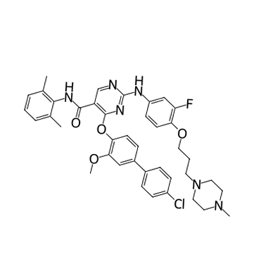 COc1cc(-c2ccc(Cl)cc2)ccc1Oc1nc(Nc2ccc(OCCCN3CCN(C)CC3)c(F)c2)ncc1C(=O)Nc1c(C)cccc1C